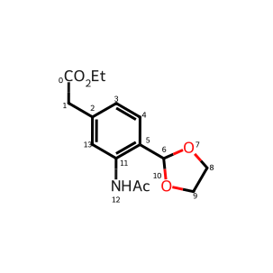 CCOC(=O)Cc1ccc(C2OCCO2)c(NC(C)=O)c1